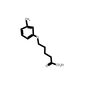 CCOC(=O)C(=O)CCCCOc1cccc(C)c1